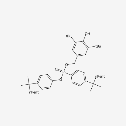 CCCCCC(C)(C)c1ccc(OP(=O)(OCc2cc(C(C)(C)C)c(O)c(C(C)(C)C)c2)c2ccc(C(C)(C)CCCCC)cc2)cc1